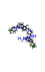 Cc1c(CN2CCC(Nc3nc(N)nc4sc(CC(F)(F)F)cc34)CC2)ccc2c1cc(C)n2C[C@H](C)N1CCC(F)(F)CC1